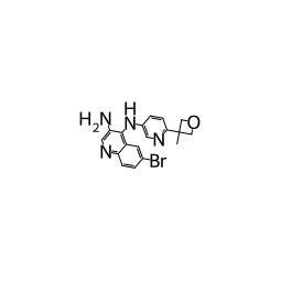 CC1(c2ccc(Nc3c(N)cnc4ccc(Br)cc34)cn2)COC1